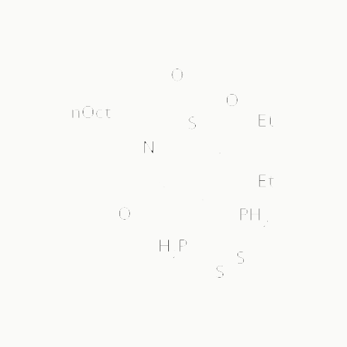 CCCCCCCCN1C(=O)C([PH2]=S)([PH2]=S)C(CC)(CC)S1(=O)=O